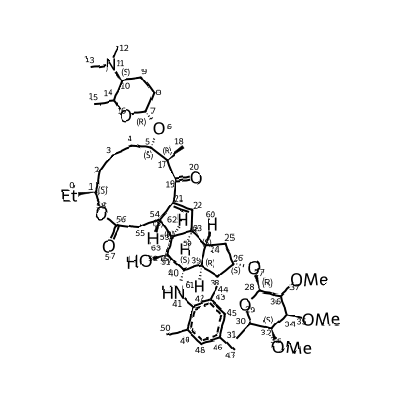 CC[C@H]1CCC[C@H](O[C@H]2CC[C@H](N(C)C)C(C)O2)[C@@H](C)C(=O)C2=C[C@H]3[C@@H]4C[C@H](O[C@@H]5OC(C)[C@H](OC)C(OC)C5OC)C[C@H]4[C@H](Nc4c(C)cc(C)cc4C)[C@@H](O)[C@H]3[C@@H]2CC(=O)O1